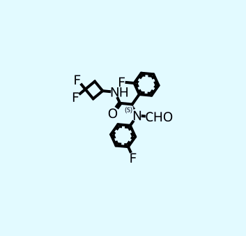 O=CN(c1cccc(F)c1)[C@H](C(=O)NC1CC(F)(F)C1)c1ccccc1F